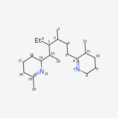 CCC(C(C)CCC1=NCCCC1C)C(C)C1CCCC(C)=N1